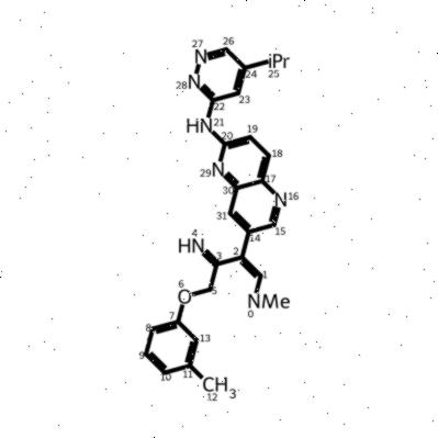 CN/C=C(\C(=N)COc1cccc(C)c1)c1cnc2ccc(Nc3cc(C(C)C)cnn3)nc2c1